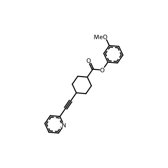 COc1cccc(OC(=O)C2CCC(C#Cc3ccccn3)CC2)c1